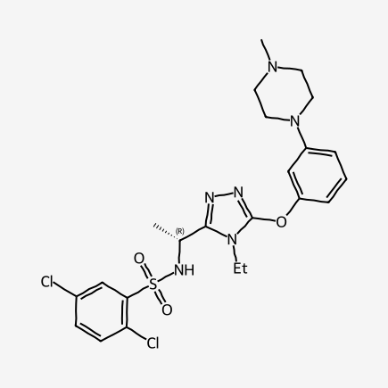 CCn1c(Oc2cccc(N3CCN(C)CC3)c2)nnc1[C@@H](C)NS(=O)(=O)c1cc(Cl)ccc1Cl